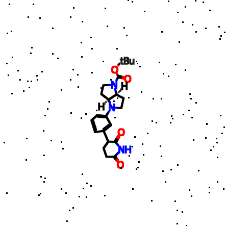 CC(C)(C)OC(=O)N1CC[C@H]2[C@@H]1CCN2c1cccc(C2CCC(=O)NC2=O)c1